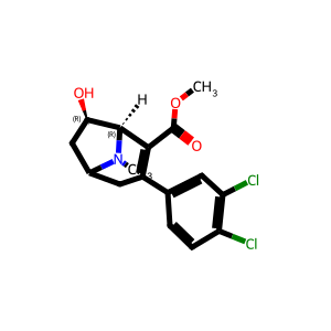 COC(=O)C1=C(c2ccc(Cl)c(Cl)c2)CC2C[C@@H](O)[C@@H]1N2C